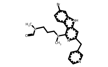 CN(C=O)CCCN(C)c1nc(Cc2cccnc2)cc2[nH]c3cc(Br)ccc3c12